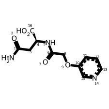 NC(=O)C[C@H](NC(=O)COc1cccnc1)C(=O)O